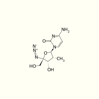 C[C@H]1[C@H](n2ccc(N)nc2=O)O[C@@](CO)(N=[N+]=[N-])[C@H]1O